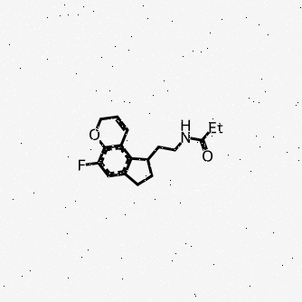 CCC(=O)NCCC1CCc2cc(F)c3c(c21)C=CCO3